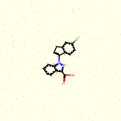 O=C(O)c1nn(C2=CCc3cc(Cl)ccc32)c2ccccc12